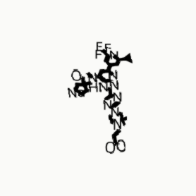 COCC1(CN(C)c2cc(-c3cc(C4CC4)nc(C(F)(F)F)c3)nc3nc(-c4cnc(N5CCN(CCC(=O)[O-])C(C)(C)C5)cn4)[nH]c23)CCCC1.[Na+]